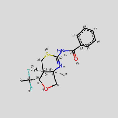 CC(F)(F)[C@H]1OC[C@]2(C)N=C(NC(=O)c3ccccc3)SC[C@H]12